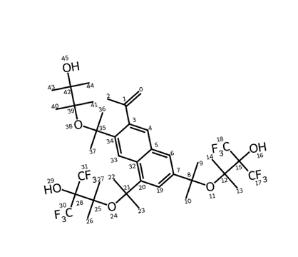 C=C(C)c1cc2cc(C(C)(C)OC(C)(C)C(O)(C(F)(F)F)C(F)(F)F)cc(C(C)(C)OC(C)(C)C(O)(C(F)(F)F)C(F)(F)F)c2cc1C(C)(C)OC(C)(C)C(C)(C)O